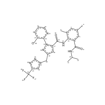 Cc1cc(I)cc(C(=O)NC(C)C)c1NC(=O)c1cc(Cn2cc(C(F)(F)F)nn2)nn1-c1ncccc1Cl